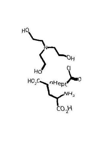 CCCCCCCC(=O)Cl.NC(CCC(=O)O)C(=O)O.OCCN(CCO)CCO